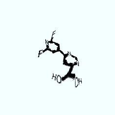 OC(O)c1cc(-c2cc(F)nc(F)c2)ncn1